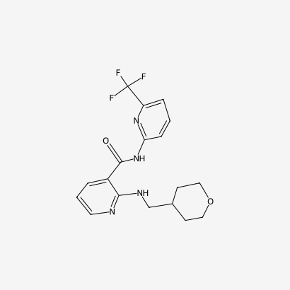 O=C(Nc1cccc(C(F)(F)F)n1)c1cccnc1NCC1CCOCC1